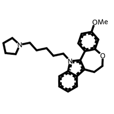 COc1ccc2c(c1)OCCc1c-2n(CCCCCN2CCCC2)c2ccccc12